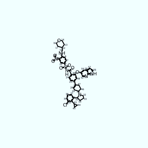 O=C(NS(=O)(=O)c1ccc(NCC2CCOCC2)c([N+](=O)[O-])c1)c1ccc(C2=CCC(N3CCCC3c3cccc(Cl)c3C3CC3)CC2)cc1Oc1cnc2[nH]ccc2c1